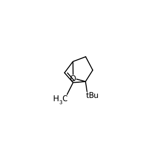 CC1=CC2CCC1(C(C)(C)C)O2